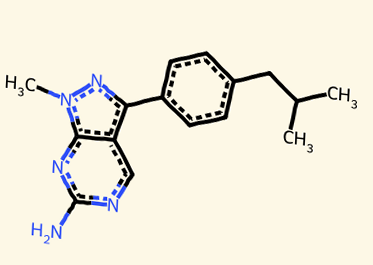 CC(C)Cc1ccc(-c2nn(C)c3nc(N)ncc23)cc1